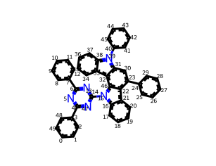 c1ccc(-c2nc(-c3ccccc3)nc(-n3c4ccccc4c4c(-c5ccccc5)cc5c(c6ccccc6n5-c5ccccc5)c43)n2)cc1